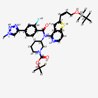 Cn1cc(-c2ccc(C(=O)N(c3nccc4sc(/C=C\CO[Si](C)(C)C(C)(C)C)cc34)[C@@H]3CCCN(C(=O)OC(C)(C)C)C3)c(F)c2)nn1